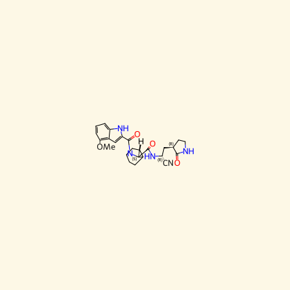 COc1cccc2[nH]c(C(=O)N3C4CCC(CC4)[C@H]3C(=O)N[C@@H](C#N)C[C@H]3CCNC3=O)cc12